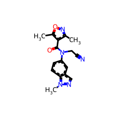 Cc1noc(C)c1C(=O)N(CC#N)c1ccc2c(cnn2C)c1